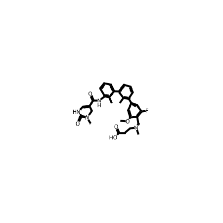 COc1cc(-c2cccc(-c3cccc(NC(=O)C4=CNC(=O)N(C)C4)c3C)c2C)cc(F)c1CN(C)CCC(=O)O